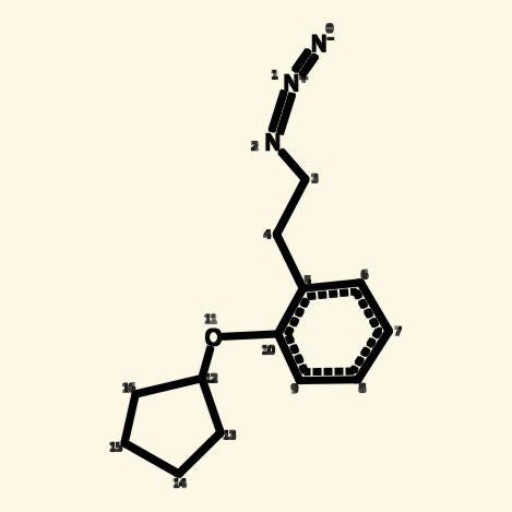 [N-]=[N+]=NCCc1ccccc1OC1CCCC1